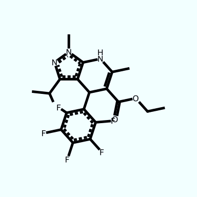 CCOC(=O)C1=C(C)Nc2c(c(C(C)C)nn2C)C1c1c(F)c(F)c(F)c(F)c1F